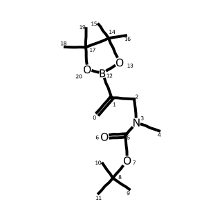 C=C(CN(C)C(=O)OC(C)(C)C)B1OC(C)(C)C(C)(C)O1